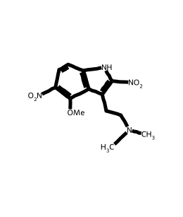 COc1c([N+](=O)[O-])ccc2[nH]c([N+](=O)[O-])c(CCN(C)C)c12